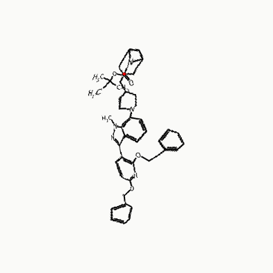 Cn1nc(-c2ccc(OCc3ccccc3)nc2OCc2ccccc2)c2cccc(N3CCC(CN4CC5CC(C4)N5C(=O)OC(C)(C)C)CC3)c21